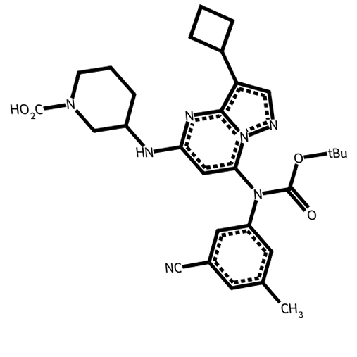 Cc1cc(C#N)cc(N(C(=O)OC(C)(C)C)c2cc(NC3CCCN(C(=O)O)C3)nc3c(C4CCC4)cnn23)c1